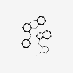 CN1CCCC1Cc1cn([C@H]2c3ccccc3Oc3cccc(Cc4ccccc4)c32)c2ccccc12